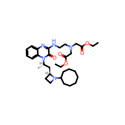 CCOC(=O)CN(CCNc1nc2ccccc2n([C@@H](C)C[C@@H]2CCN2C2CCCCCCC2)c1=O)CC(=O)OCC